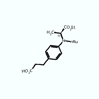 CCCCN(c1ccc(CCC(=O)O)cc1)[C@@H](C)C(=O)OCC